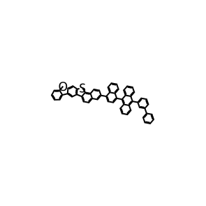 c1ccc(-c2cccc(-c3c4ccccc4c(-c4ccc(-c5ccc6c(ccc7c8cc9c(cc8sc67)oc6ccccc69)c5)c5ccccc45)c4ccccc34)c2)cc1